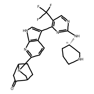 O=C1CC2CCC1CN2c1ccc2c(-c3nc(N[C@H]4CCCNC4)ncc3C(F)(F)F)c[nH]c2n1